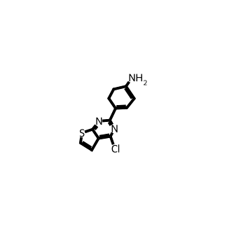 NC1=CC=C(c2nc(Cl)c3ccsc3n2)CC1